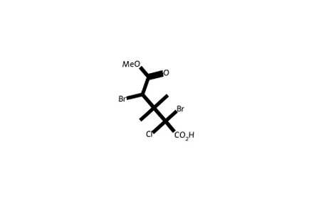 COC(=O)C(Br)C(C)(C)C(Cl)(Br)C(=O)O